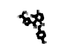 N=C(c1csc(C(N)=O)c1)c1c(NCc2ccc(O)cc2)cc[nH]c1=O